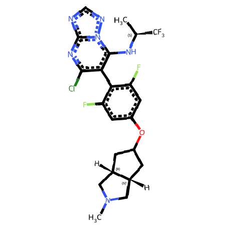 C[C@H](Nc1c(-c2c(F)cc(OC3C[C@@H]4CN(C)C[C@@H]4C3)cc2F)c(Cl)nc2ncnn12)C(F)(F)F